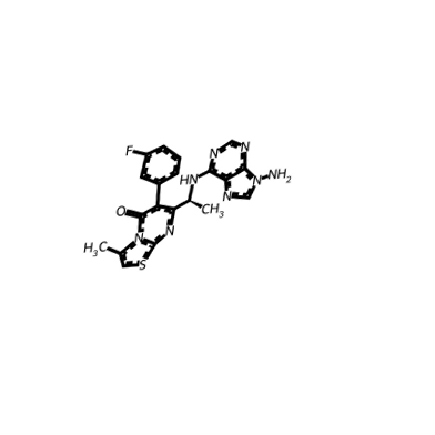 Cc1csc2nc([C@H](C)Nc3ncnc4c3ncn4N)c(-c3cccc(F)c3)c(=O)n12